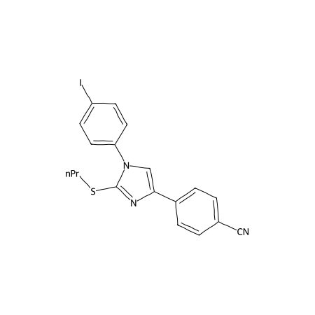 CCCSc1nc(-c2ccc(C#N)cc2)cn1-c1ccc(I)cc1